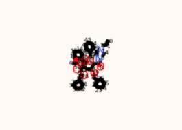 C=CCN1CCN(C(=O)[C@H](OCc2ccccc2)[C@@H](OCc2ccccc2)[C@H](OCc2ccccc2)[C@]2(COCc3ccccc3)OC(C)(C)O[C@@H]2C)CC1